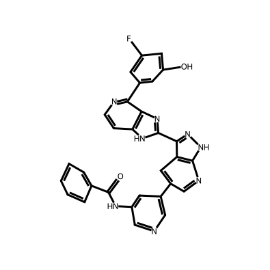 O=C(Nc1cncc(-c2cnc3[nH]nc(-c4nc5c(-c6cc(O)cc(F)c6)nccc5[nH]4)c3c2)c1)c1ccccc1